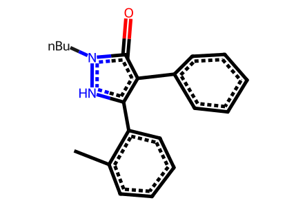 CCCCn1[nH]c(-c2ccccc2C)c(-c2ccccc2)c1=O